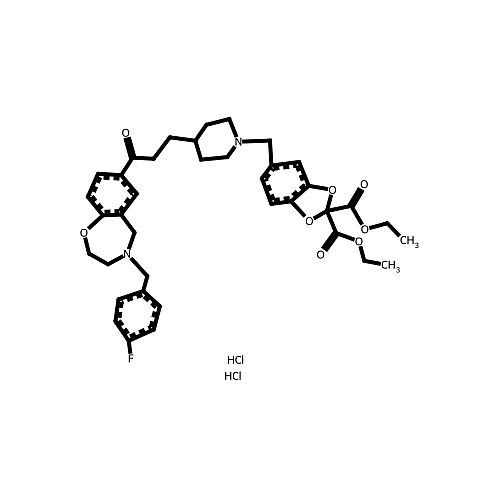 CCOC(=O)C1(C(=O)OCC)Oc2ccc(CN3CCC(CCC(=O)c4ccc5c(c4)CN(Cc4ccc(F)cc4)CCO5)CC3)cc2O1.Cl.Cl